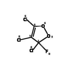 FC1(Cl)OOC(Cl)=C1Cl